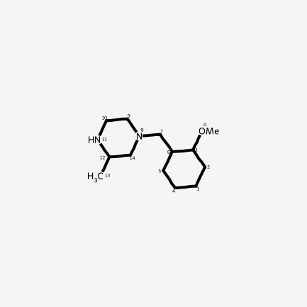 COC1CCCCC1CN1CCNC(C)C1